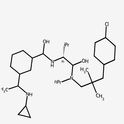 CCCN(CC(C)(C)CC1CCC(Cl)CC1)C(O)[C@H](NC(O)C1CCCC(C(C)NC2CC2)C1)C(C)C